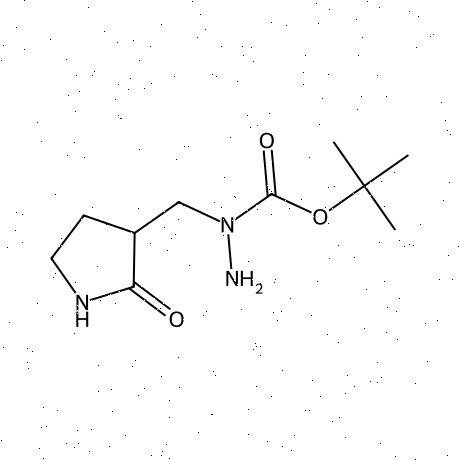 CC(C)(C)OC(=O)N(N)CC1CCNC1=O